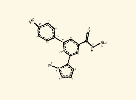 CC(C)n1nccc1-c1cc(C(=O)NC(C)(C)C)cc(-c2ccc(C#N)cc2)n1